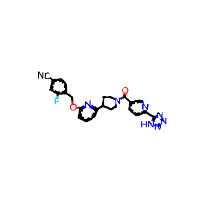 N#Cc1ccc(COc2cccc(C3CCN(C(=O)c4ccc(-c5nnn[nH]5)nc4)CC3)n2)c(F)c1